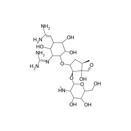 CNC1C(O[C@H]2C(OC3C(O)C(O)C(C=C(N)N)C(O)C3N=C(N)N)C[C@@H](C)C2(O)C=O)OC(CO)C(O)C1O